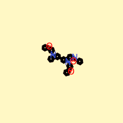 c1ccc(-c2nc3ccc4c5cc(-c6ccc7c(c6)c6ccccc6n7-c6ccc7oc8ccccc8c7c6)ccc5n(-c5ccc6oc7ccccc7c6c5)c4c3o2)cc1